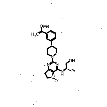 C=C(OC)c1cccc(C2CCN(c3nc4c(c(N[C@@H](CO)C(C)C)n3)[S+]([O-])CC4)CC2)c1